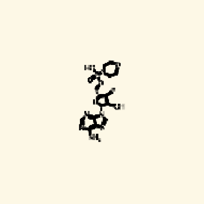 Nc1ncnc2c1ncn2[C@@H]1O[C@H](COP(=O)(O)N2CCOCC2)C(F)C1O